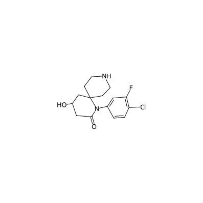 O=C1CC(O)CC2(CCNCC2)N1c1ccc(Cl)c(F)c1